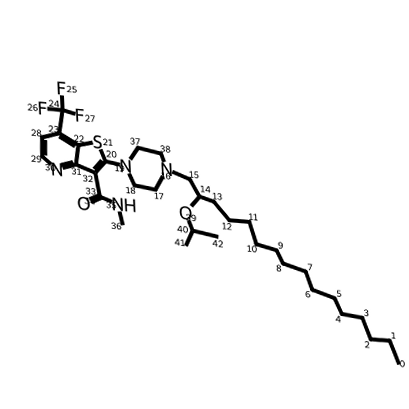 CCCCCCCCCCCCCCC(CN1CCN(c2sc3c(C(F)(F)F)ccnc3c2C(=O)NC)CC1)OC(C)C